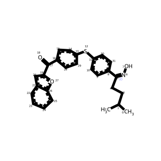 CC(C)CC/C(=N/O)c1ccc(Sc2ccc(C(=O)c3cc4ccccc4o3)cc2)cc1